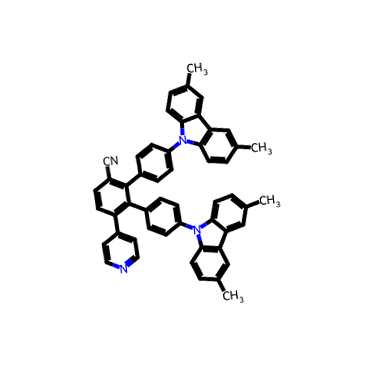 Cc1ccc2c(c1)c1cc(C)ccc1n2-c1ccc(-c2c(C#N)ccc(-c3ccncc3)c2-c2ccc(-n3c4ccc(C)cc4c4cc(C)ccc43)cc2)cc1